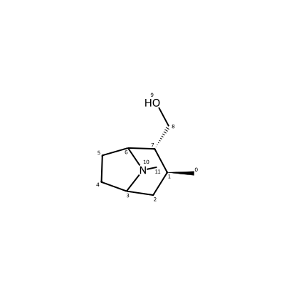 C[C@H]1CC2CCC([C@@H]1CO)N2C